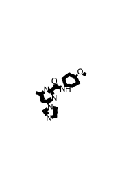 CO[C@H]1CC[C@H](NC(=O)c2nc(C)cc(-n3ccnc3)n2)CC1